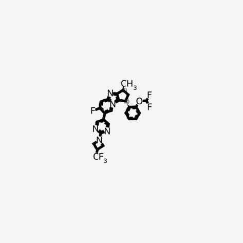 C[C@@H]1C[C@H](c2ccccc2OC(F)F)c2c1nc1cc(F)c(-c3cnc(N4CC(C(F)(F)F)C4)nc3)cn21